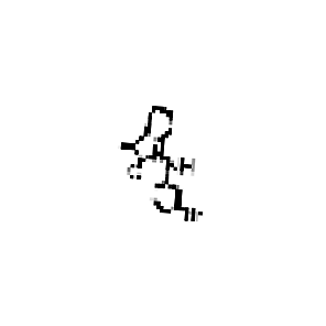 C=C1C(=O)N(Nc2cccc(Br)c2)c2ccccc21